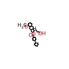 COc1cccc2c1CC1C[C@@H](OC(=O)c3ccc(-c4ccccc4)cc3)[C@H](CCCO)[C@H]1C2